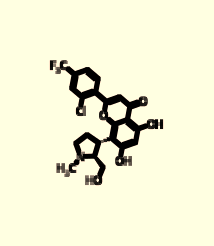 CN1CC[C@H](c2c(O)cc(O)c3c(=O)cc(-c4ccc(C(F)(F)F)cc4Cl)oc23)[C@H]1CO